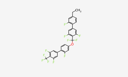 CCc1ccc(-c2cc(F)c(C(F)(F)Oc3ccc(-c4cc(F)c(C(F)(F)F)c(F)c4)c(F)c3)c(F)c2)c(F)c1